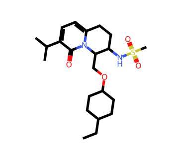 CCC1CCC(OCC2C(NS(C)(=O)=O)CCc3ccc(C(C)C)c(=O)n32)CC1